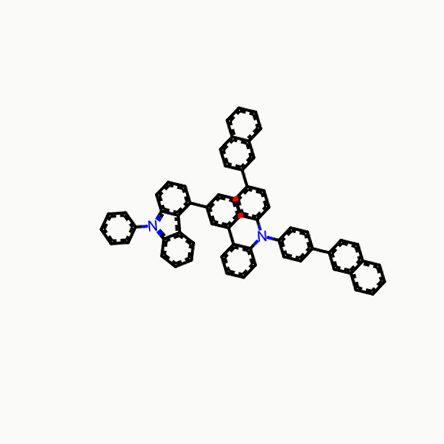 c1ccc(-n2c3ccccc3c3c(-c4cccc(-c5ccccc5N(c5ccc(-c6ccc7ccccc7c6)cc5)c5ccc(-c6ccc7ccccc7c6)cc5)c4)cccc32)cc1